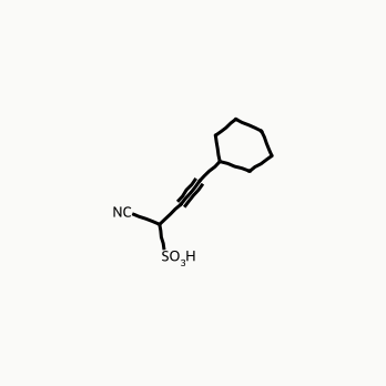 N#CC(C#CC1CCCCC1)S(=O)(=O)O